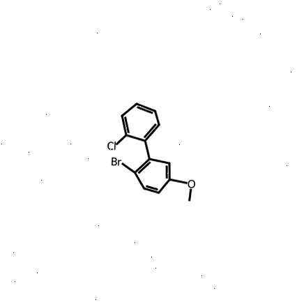 COc1ccc(Br)c(-c2ccccc2Cl)c1